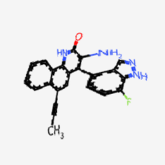 CC#Cc1cc2c(-c3ccc(F)c4[nH]ncc34)c(N)c(=O)[nH]c2c2ccccc12